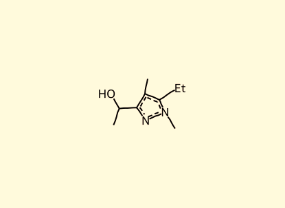 CCc1c(C)c(C(C)O)nn1C